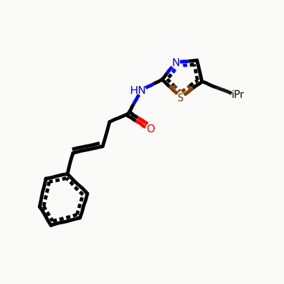 CC(C)c1cnc(NC(=O)CC=Cc2ccccc2)s1